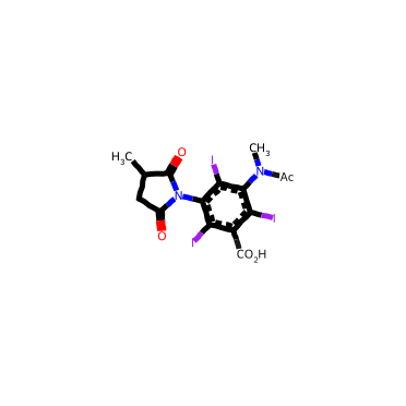 CC(=O)N(C)c1c(I)c(C(=O)O)c(I)c(N2C(=O)CC(C)C2=O)c1I